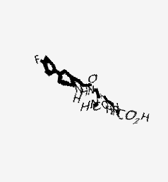 O=C(O)NCCC[C@@H](CNC(=O)c1cc2cc(-c3ccc(F)cc3)ccc2[nH]1)NC(=O)O